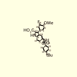 COc1ccc(-c2c(C(=O)O)[nH]c3ccc(NS(=O)(=O)c4ccc(C(C)(C)C)cc4)cc23)cc1F